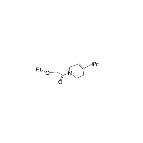 CCOCC(=O)N1CC=C(C(C)C)CC1